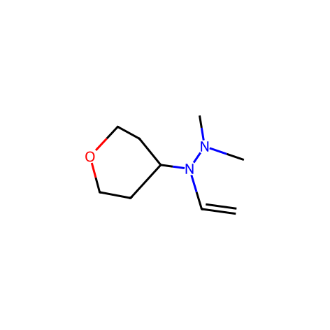 C=CN(C1CCOCC1)N(C)C